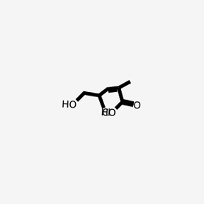 CC(=CC(Cl)CO)C(=O)O